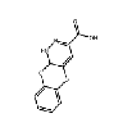 O=C(O)C1=NNC2Oc3ccccc3OC2=C1